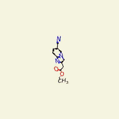 CCOC(=O)Cc1cn2cc(C#N)ccc2n1